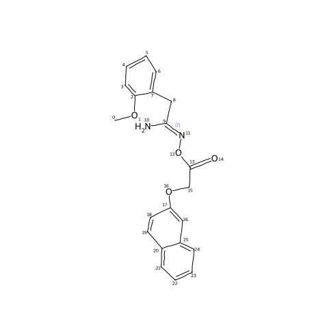 COc1ccccc1C/C(N)=N/OC(=O)COc1ccc2ccccc2c1